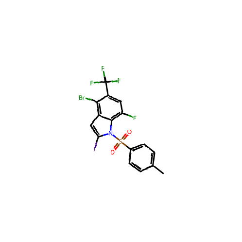 Cc1ccc(S(=O)(=O)n2c(I)cc3c(Br)c(C(F)(F)F)cc(F)c32)cc1